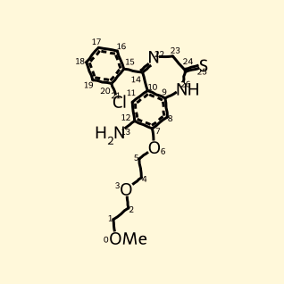 COCCOCCOc1cc2c(cc1N)C(c1ccccc1Cl)=NCC(=S)N2